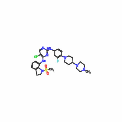 CN1CCN(C2CCN(c3ccc(Nc4ncc(Cl)c(Nc5cccc6c5N(S(C)(=O)=O)CC6)n4)cc3F)CC2)CC1